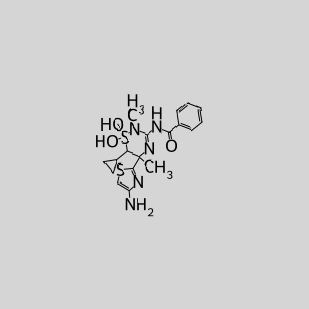 CN1C(NC(=O)c2ccccc2)=NC(C)(c2nc(N)cs2)C(C2CC2)S1(O)O